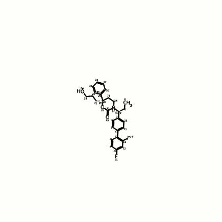 CC[C@@H](c1ccc(-c2ccc(F)cc2F)cc1)N1CC[C@](CCCO)(c2ccccc2)OC1=O